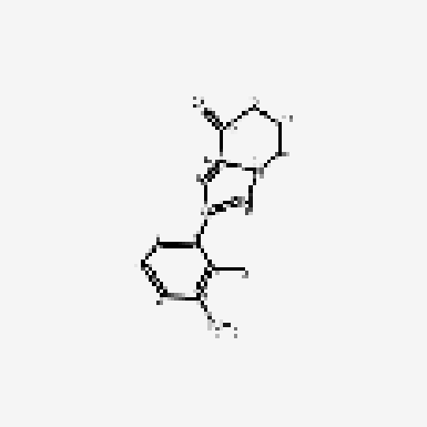 Cc1c(N)cccc1-c1cc2n(n1)CCCC2=O